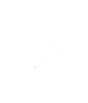 CC1(O)CCN(c2ccc(OC(F)(F)F)cc2NC(=O)c2ccc(C3CCOCC3)o2)CC1